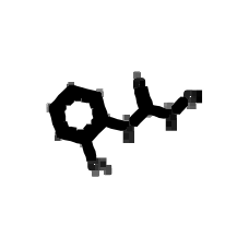 Cc1ccccc1NC(=O)NC#N